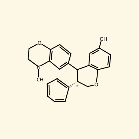 CN1CCOc2ccc(C3c4cc(O)ccc4OC[C@@H]3c3ccccc3)cc21